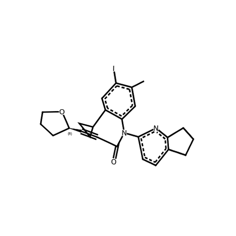 Cc1cc(N(C(=O)C#C[C@H]2CCCO2)c2ccc3c(n2)CCC3)c(C2CC2)cc1I